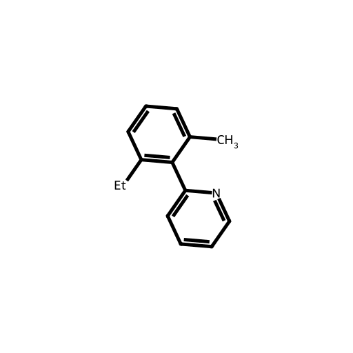 CCc1cccc(C)c1-c1ccccn1